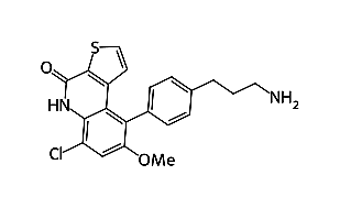 COc1cc(Cl)c2[nH]c(=O)c3sccc3c2c1-c1ccc(CCCN)cc1